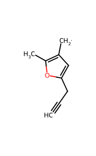 C#CCc1cc([CH2])c(C)o1